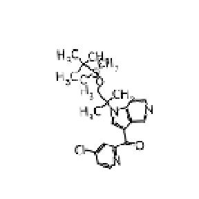 CC(C)(CO[Si](C)(C)C(C)(C)C)n1cc(C(=O)c2cc(Cl)ccn2)c2cnccc21